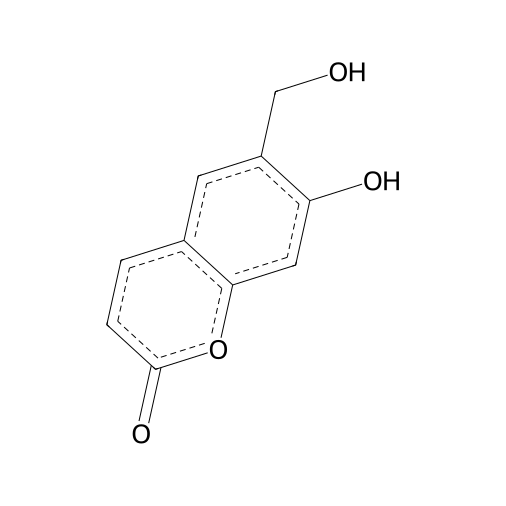 O=c1ccc2cc(CO)c(O)cc2o1